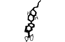 CCCCC1CC[C@@H]2CC(c3ccc4cc(C(=O)OC)ccc4c3)CC[C@H]2C1